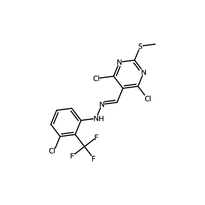 CSc1nc(Cl)c(/C=N/Nc2cccc(Cl)c2C(F)(F)F)c(Cl)n1